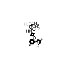 CC(C)(C)OC(=O)NC1CC(Oc2ccc(F)cc2[C@H]2C[C@H](F)CN2)C1